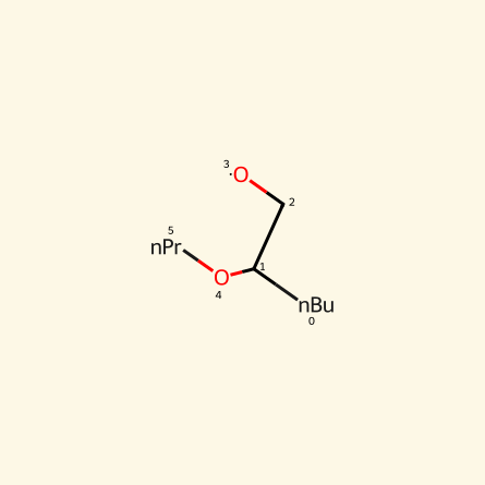 CCCCC(C[O])OCCC